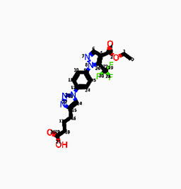 CCOC(=O)c1cnn(-c2ccc(-n3cc(CCCC(=O)O)nn3)cc2)c1C(F)(F)F